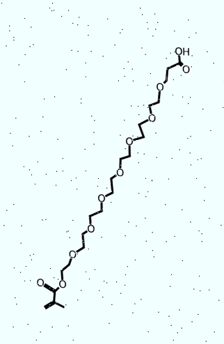 C=C(C)C(=O)OCCOCCOCCOCCOCCOCCOCCOCCC(=O)O